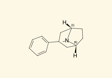 CN1[C@@H]2CC[C@H]1CC(c1ccccc1)C2